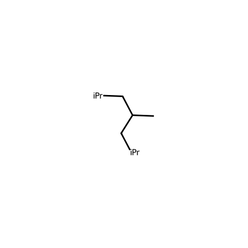 [CH2]C(C)CC(C)CC(C)C